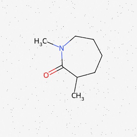 CC1CCCCN(C)C1=O